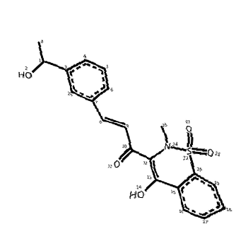 CC(O)c1cccc(/C=C/C(=O)C2=C(O)c3ccccc3S(=O)(=O)N2C)c1